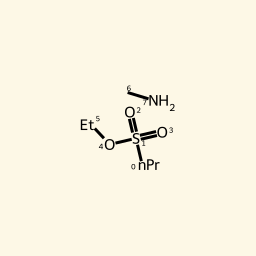 CCCS(=O)(=O)OCC.CN